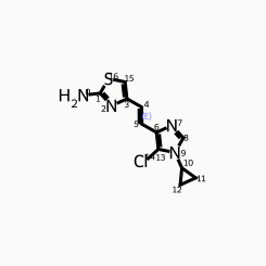 Nc1nc(/C=C/c2ncn(C3CC3)c2Cl)cs1